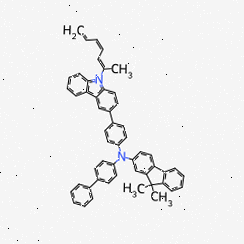 C=C/C=C\C=C(/C)n1c2ccccc2c2cc(-c3ccc(N(c4ccc(-c5ccccc5)cc4)c4ccc5c(c4)C(C)(C)c4ccccc4-5)cc3)ccc21